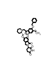 COc1cc2[nH]nc(CN3CCCC[C@H]3COc3ccc4c(c3)CN(C3CCC(=O)NC3=O)C4=O)c2cc1OCc1ccccc1